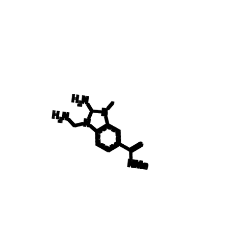 C=C(NC)c1ccc2c(c1)B(C)C(N)N2CN